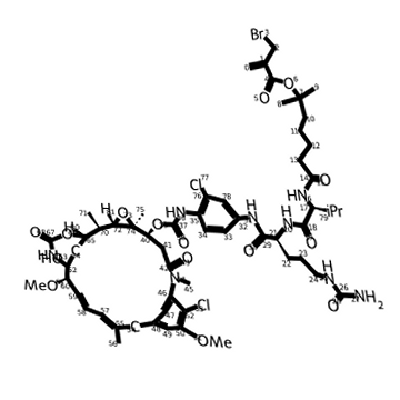 C=C(CBr)C(=O)OC(C)(C)CCCCC(=O)N[C@H](C(=O)N[C@@H](CCCNC(N)=O)C(=O)Nc1ccc(NC(=O)O[C@H]2CC(=O)N(C)c3cc(cc(OC)c3Cl)C/C(C)=C/C=C/[C@@H](OC)[C@@]3(O)C[C@H](OC(=O)N3)[C@@H](C)[C@@H]3O[C@@]23C)c(Cl)c1)C(C)C